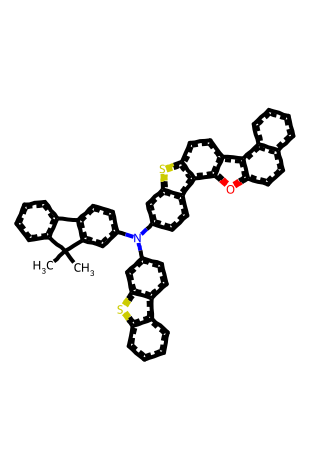 CC1(C)c2ccccc2-c2ccc(N(c3ccc4c(c3)sc3ccccc34)c3ccc4c(c3)sc3ccc5c(oc6ccc7ccccc7c65)c34)cc21